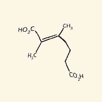 CC(CCC(=O)O)=C(C)C(=O)O